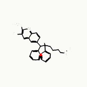 CCc1cc2cc(C(c3ccccc3)C(O)(CCCCN(C)C)c3ccccc3)ccc2nc1OC